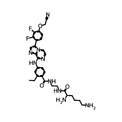 CCc1cc(Nc2nccn3c(-c4ccc(OCC#N)c(F)c4F)cnc23)ccc1C(=O)NCCNC(=O)C(N)CCCCN